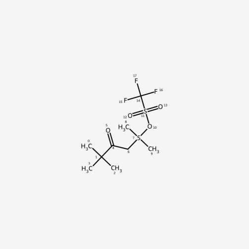 CC(C)(C)C(=O)CS(C)(C)OS(=O)(=O)C(F)(F)F